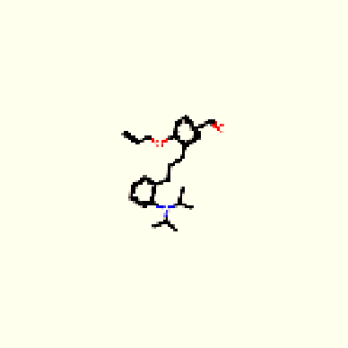 C=CCOc1ccc(C=O)cc1CCCc1ccccc1N(C(C)C)C(C)C